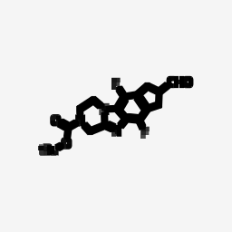 CC(C)(C)OC(=O)N1CCn2c(nc3c(F)c4c(c(F)c32)CC(C=O)C4)C1